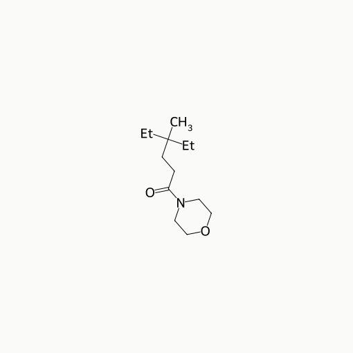 CCC(C)(CC)CCC(=O)N1CCOCC1